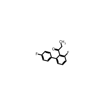 CCC(=O)c1c(F)cccc1-c1ccc(F)cc1